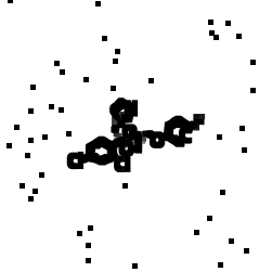 Fc1ccc(OC[C@@H]2CO[C@@](Cn3ccnc3)(c3ccc(Cl)cc3Cl)O2)cc1